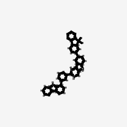 CC1(C)c2ccccc2-c2ccc(-c3ccc4oc5cnc(-c6cccc(-c7cccc8c7sc7ccccc78)c6)nc5c4c3)cc21